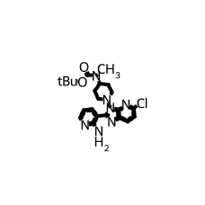 CN(C(=O)OC(C)(C)C)C1CCN(n2c(-c3cccnc3N)nc3ccc(Cl)nc32)CC1